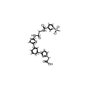 CS(=O)(=O)n1ccc(C(=O)NCC(=O)Nc2nc(-c3cccc(-c4ccn(CC(=O)O)n4)c3)cs2)c1